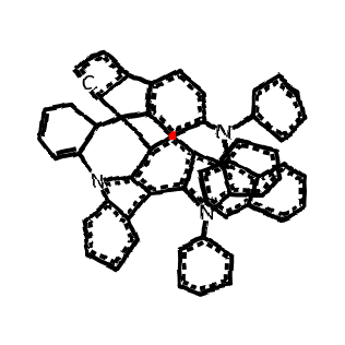 C1=CCC2C(=C1)n1c3ccccc3c3c1c(cc1c4ccccc4n(-c4ccccc4)c13)C21c2ccccc2-c2ccc(N(c3ccccc3)c3cccc4ccccc34)cc21